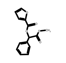 COC(=O)C(OC(=O)c1ccco1)c1ccccc1